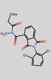 CCc1cccc(CC)c1N1C(=O)c2cccc(C(=O)N(C)C(=O)COC)c2C1=O